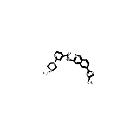 Cc1csc(-c2ccc3cnc(NC(=O)c4ccnc(N5CCN(C)CC5)c4)cc3c2)n1